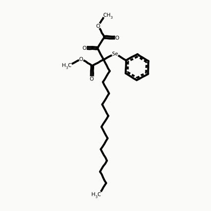 CCCCCCCCCCCCC([Se]c1ccccc1)(C(=O)OC)C(=O)C(=O)OC